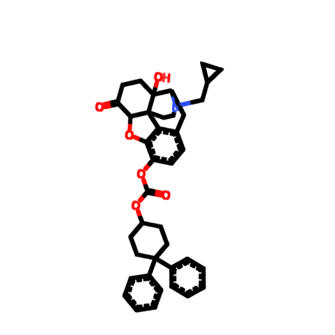 O=C(Oc1ccc2c3c1OC1C(=O)CCC4(O)C(C2)N(CC2CC2)CCC314)OC1CCC(c2ccccc2)(c2ccccc2)CC1